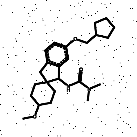 COC1CCC2(CC1)Cc1ccc(OCC3CCCC3)cc1C2NC(=O)N(C)C